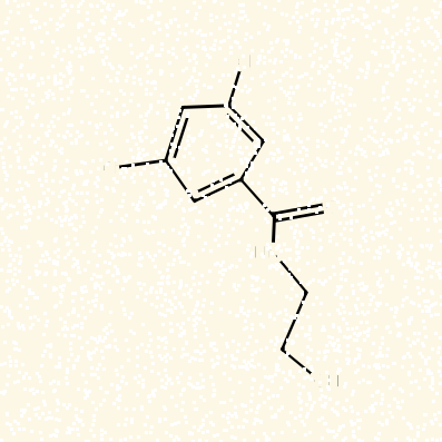 O=C(NCCO)c1cc(Cl)cc(Cl)c1